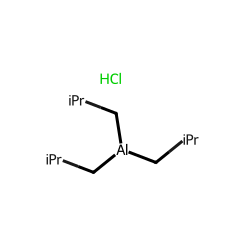 CC(C)[CH2][Al]([CH2]C(C)C)[CH2]C(C)C.Cl